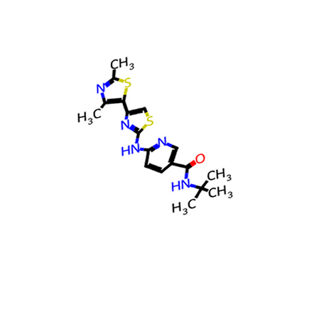 Cc1nc(C)c(-c2csc(Nc3ccc(C(=O)NC(C)(C)C)cn3)n2)s1